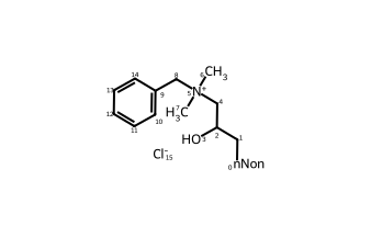 CCCCCCCCCCC(O)C[N+](C)(C)Cc1ccccc1.[Cl-]